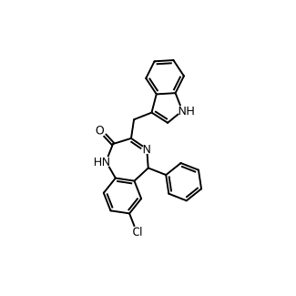 O=C1Nc2ccc(Cl)cc2C(c2ccccc2)N=C1Cc1c[nH]c2ccccc12